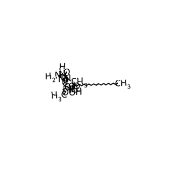 CCCCCCCCCCCCCCCCCOC(C)OP(=O)(O)CO[C@H](COC)Cn1cnc2c(=O)[nH]c(N)nc21